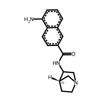 Nc1cccc2cc(C(=O)NC3CN4CC[C@H]3C4)ccc12